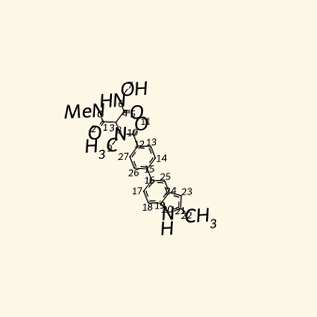 CNC(=O)C(C(=O)NO)N(C)C(=O)c1ccc(-c2ccc3[nH]c(C)cc3c2)cc1